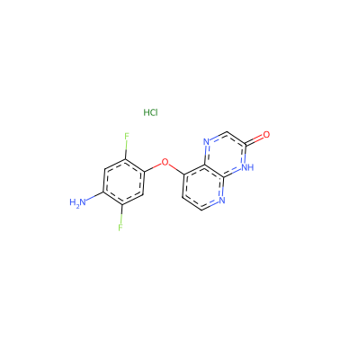 Cl.Nc1cc(F)c(Oc2ccnc3[nH]c(=O)cnc23)cc1F